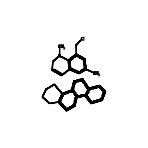 Cc1cc2c(c(CCl)c1)N(C)CC=C2.c1ccc2c(c1)ccc1c3c(ccc12)CCCC3